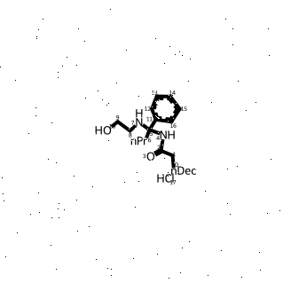 CCCCCCCCCCCC(=O)NC(CCC)(NCCO)c1ccccc1.Cl